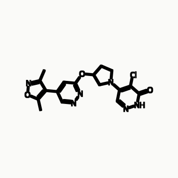 Cc1noc(C)c1-c1cnnc(OC2CCN(c3cn[nH]c(=O)c3Cl)C2)c1